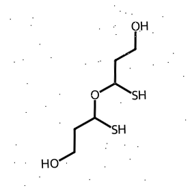 OCCC(S)OC(S)CCO